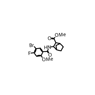 COC(=O)C1C2CCC(C2)C1NC(=O)c1cc(Br)c(F)cc1OC